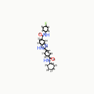 O=C(Nc1ccc(F)cc1)c1ccc2[nH]c(-c3ccc(C(=O)NC4CCCCCC4)cc3)nc2c1